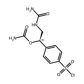 CCS(=O)(=O)c1ccc([C@H](CNC(N)=O)OC(N)=O)cc1